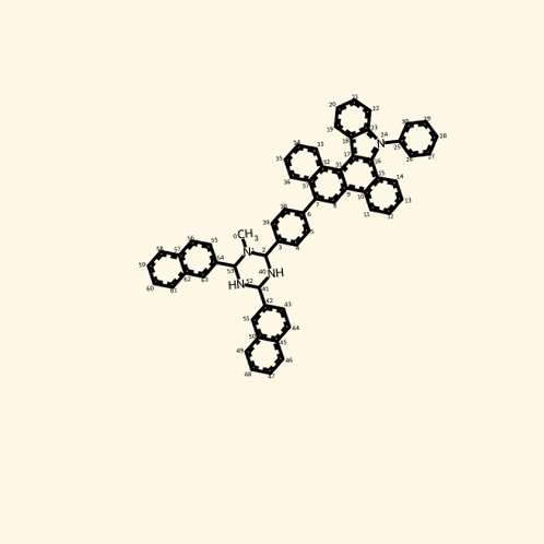 CN1C(c2ccc(-c3cc4c5ccccc5c5c(c6ccccc6n5-c5ccccc5)c4c4ccccc34)cc2)NC(c2ccc3ccccc3c2)NC1c1ccc2ccccc2c1